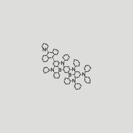 c1ccc(N(c2ccccc2)c2cc3c4c(c2)N(c2ccccc2)c2cc5c(cc2B4c2ccccc2N3c2ccccc2)B2c3ccccc3N(c3ccccc3)c3cc(-c4c6ccccc6c(-c6ccccn6)c6ccccc46)cc(c32)N5c2ccccc2)cc1